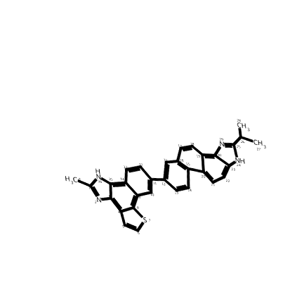 Cc1nc2c3ccsc3c3cc(-c4ccc5c(ccc6c5ccc5[nH]c(C(C)C)nc56)c4)ccc3c2[nH]1